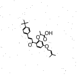 CC(C)=CCOc1ccc(C(=O)C=Cc2ccc(C(C)(C)C)cc2)c(OC(C)C(=O)O)c1